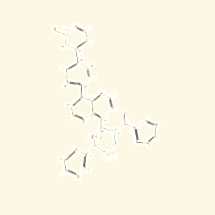 CC(c1ccccc1)N(C)C(NC(N)c1ccccc1)c1cccc2c(-c3ccc(C4=CC=CN(C)C4)cc3)cccc12